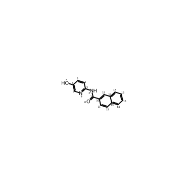 O=C(Nc1ccc(O)cn1)c1ccc2ccccc2c1